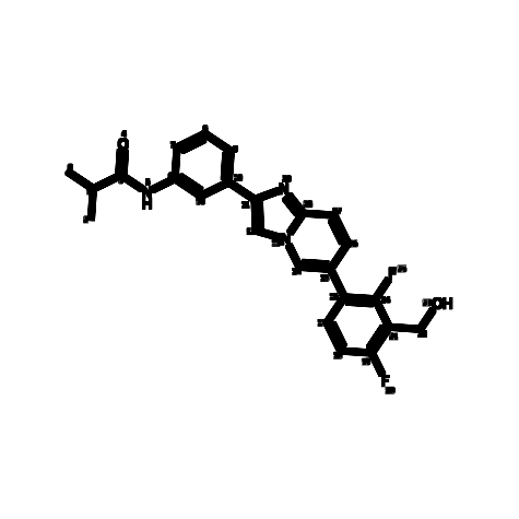 CC(C)C(=O)Nc1cccc(-c2cn3cc(-c4ccc(F)c(CO)c4F)ccc3n2)c1